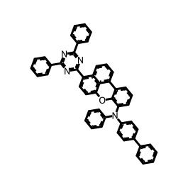 c1ccc(-c2ccc(N(c3ccccc3)c3cccc4c3Oc3ccc(-c5nc(-c6ccccc6)nc(-c6ccccc6)n5)c5cccc-4c35)cc2)cc1